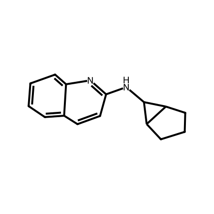 c1ccc2nc(NC3C4CCCC43)ccc2c1